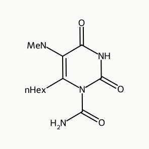 CCCCCCc1c(NC)c(=O)[nH]c(=O)n1C(N)=O